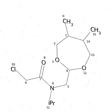 CC1COC(CN(C(=O)CCl)C(C)C)OCC1C